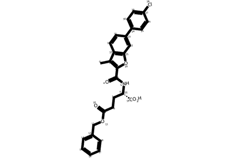 Cc1c(C(=O)N[C@@H](CCC(=O)OCc2ccccc2)C(=O)O)oc2cc(-c3ccc(Cl)cc3)ccc12